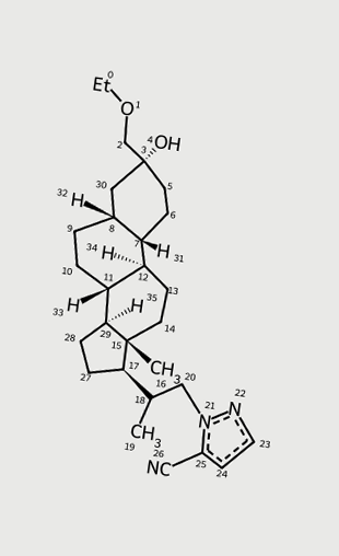 CCOC[C@@]1(O)CC[C@H]2[C@H](CC[C@@H]3[C@@H]2CC[C@]2(C)[C@@H](C(C)Cn4nccc4C#N)CC[C@@H]32)C1